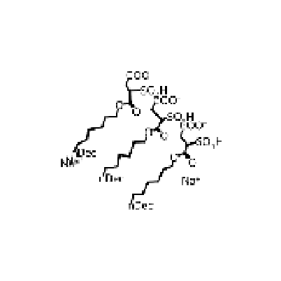 CCCCCCCCCCCCCCCCOC(=O)C(CC(=O)[O-])S(=O)(=O)O.CCCCCCCCCCCCCCCCOC(=O)C(CC(=O)[O-])S(=O)(=O)O.CCCCCCCCCCCCCCCCOC(=O)C(CC(=O)[O-])S(=O)(=O)O.[Na+].[Na+].[Na+]